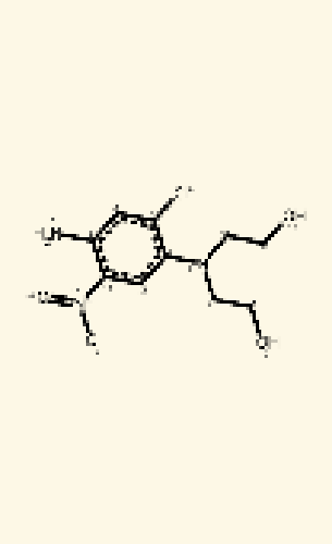 Nc1cc(Cl)c(N(CCO)CCO)cc1[N+](=O)[O-]